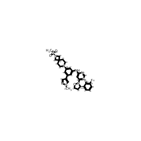 Cn1cc(-c2cc(Nc3cc(N4OCC[C@@H]4c4cccc(F)c4F)ncn3)cc(N3CCC4(CC3)CN(S(C)(=O)=O)C4)c2)cn1